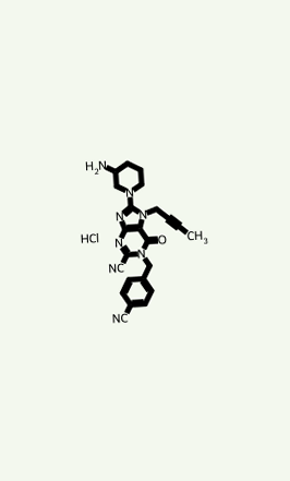 CC#CCn1c(N2CCCC(N)C2)nc2nc(C#N)n(Cc3ccc(C#N)cc3)c(=O)c21.Cl